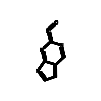 O=S=C1N=CC2=CC=NC2=N1